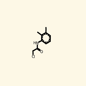 Cc1cccc(NC(=O)CCl)c1C